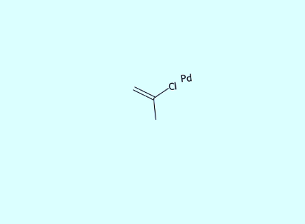 C=C(C)Cl.[Pd]